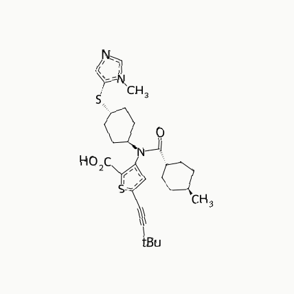 Cn1cncc1S[C@H]1CC[C@H](N(c2cc(C#CC(C)(C)C)sc2C(=O)O)C(=O)[C@H]2CC[C@H](C)CC2)CC1